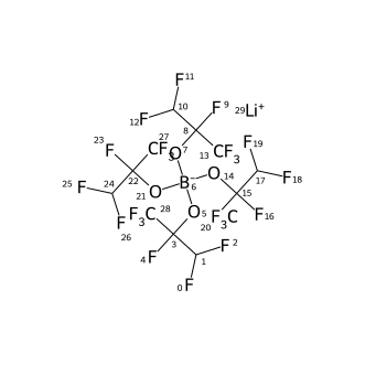 FC(F)C(F)(O[B-](OC(F)(C(F)F)C(F)(F)F)(OC(F)(C(F)F)C(F)(F)F)OC(F)(C(F)F)C(F)(F)F)C(F)(F)F.[Li+]